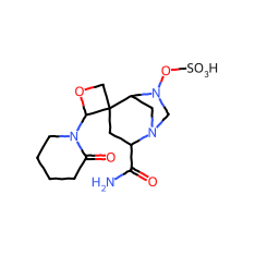 NC(=O)C1CC2(COC2N2CCCCC2=O)C2CN1CN2OS(=O)(=O)O